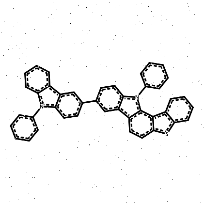 c1ccc(-n2c3ccccc3c3cc(-c4ccc5c(c4)c4ccc6sc7ccccc7c6c4n5-c4ccccc4)ccc32)cc1